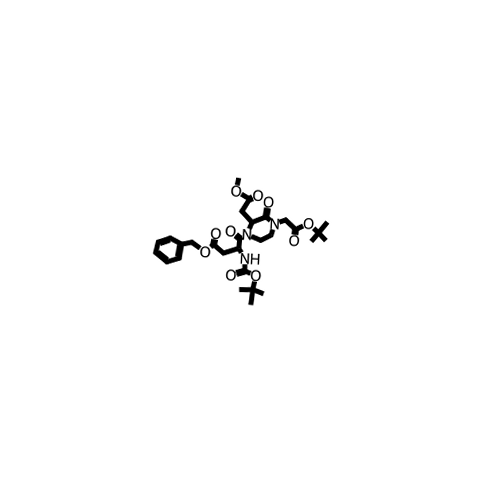 COC(=O)CC1C(=O)N(CC(=O)OC(C)(C)C)CCN1C(=O)C(CC(=O)OCc1ccccc1)NC(=O)OC(C)(C)C